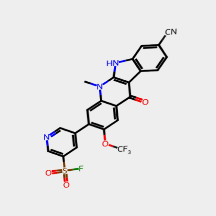 Cn1c2cc(-c3cncc(S(=O)(=O)F)c3)c(OC(F)(F)F)cc2c(=O)c2c3ccc(C#N)cc3[nH]c21